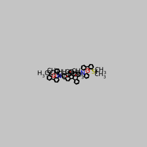 CC(C)Sc1cccc2c1oc1c(N(c3ccccc3)c3ccc4c5c(c6ccccc6c4c3)-c3ccc4cc(N(c6ccccc6)c6cccc7c6oc6c([Si](C)(C)C)cccc67)ccc4c3C5([Si](C)(C)C)[Si](C)(C)C)cccc12